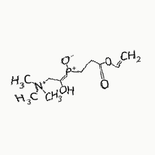 C=COC(=O)CC/[P+]([O-])=C(\O)C[N+](C)(C)C